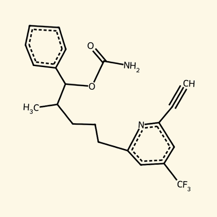 C#Cc1cc(C(F)(F)F)cc(CCCC(C)C(OC(N)=O)c2ccccc2)n1